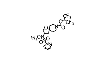 CN(C1COC2(CCN(C(=O)OC(C(F)(F)F)C(F)(F)F)CC2)C1)S(=O)(=O)c1nccs1